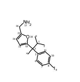 CC(C)C(C)(c1ccc(I)cc1)c1ccc(CN)o1